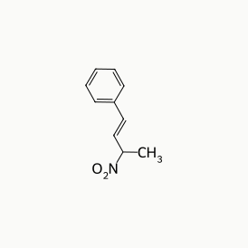 CC(C=Cc1ccccc1)[N+](=O)[O-]